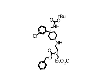 CCOC(=O)CN(CCN[C@H]1CC[C@](CNC(=O)OC(C)(C)C)(c2cccc(Cl)c2)CC1)C(=O)OCc1ccccc1